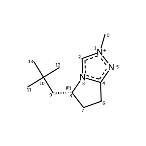 C[n+]1cn2c(n1)CC[C@@H]2CC(C)(C)C